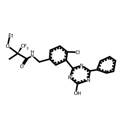 CCO[C@@](C)(C(=O)NCc1ccc(Cl)c(-c2nc(O)nc(-c3ccccc3)n2)c1)C(F)(F)F